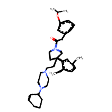 Cc1ccc(C)c(C2(CCN3CCN(C4CCCCC4)CC3)CCN(C(=O)Cc3cccc(OC(C)C)c3)C2)c1